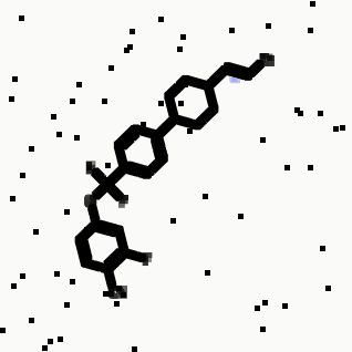 CC/C=C/C1CCC(c2ccc(C(F)(F)Oc3ccc(C#N)c(F)c3)cc2)CC1